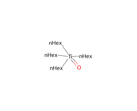 CCCCC[CH2][Ti](=[O])([CH2]CCCCC)([CH2]CCCCC)[CH2]CCCCC